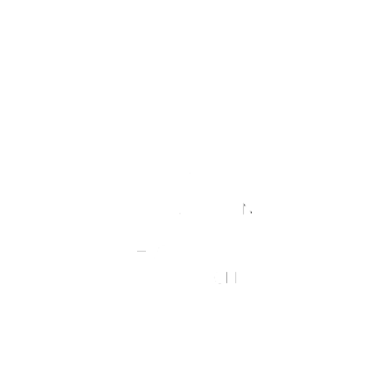 CC1=Nc2ccccc2C1(C)F